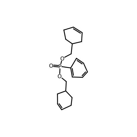 O=P(OCC1CC=CCC1)(OCC1CC=CCC1)c1ccccc1